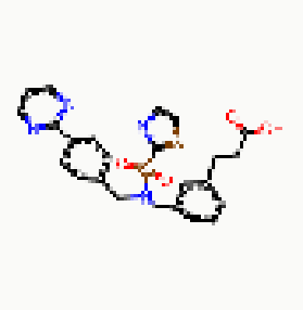 O=C(O)CCc1cccc(CN(Cc2ccc(-c3ncccn3)cc2)S(=O)(=O)c2nccs2)c1